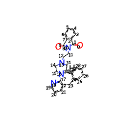 O=C1c2ccccc2C(=O)N1CCN1CCN2c3ncccc3Cc3ccccc3[C@@H]2C1